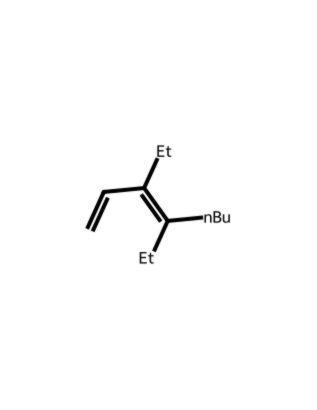 C=CC(CC)=C(CC)CCCC